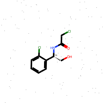 O=C(CCl)N[C@H](CO)c1ccccc1Cl